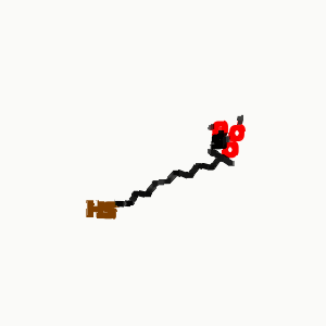 CO[Si](C)(OC)OC(C)(C)CCCCCCCCCCS